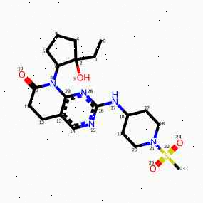 CCC1(O)CCCC1N1C(=O)CCc2cnc(NC3CCN(S(C)(=O)=O)CC3)nc21